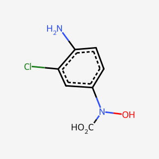 Nc1ccc(N(O)C(=O)O)cc1Cl